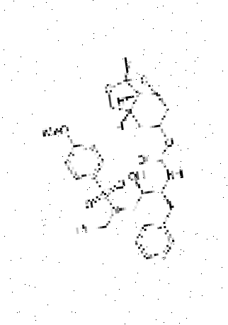 COc1ccc(S(=O)(=O)N(CC(C)C)C[C@@H](O)[C@H](Cc2ccccc2)NC(=O)OC2C[C@@H]3CO[C@@H]4OC2C[C@H]34)cc1